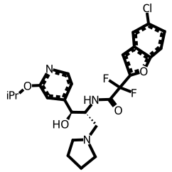 CC(C)Oc1cc([C@H](O)[C@@H](CN2CCCC2)NC(=O)C(F)(F)c2cc3cc(Cl)ccc3o2)ccn1